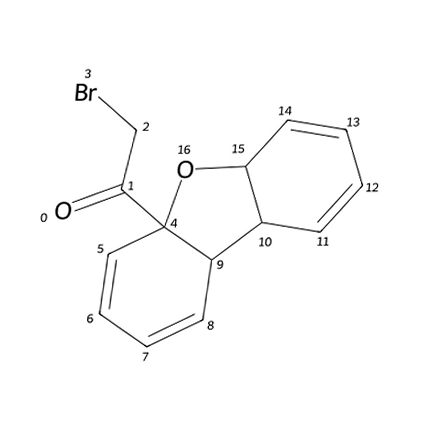 O=C(CBr)C12C=CC=CC1C1C=CC=CC1O2